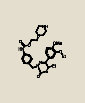 CCOc1cc(C2=NN(Cc3ccc(NC(=O)OCCN4CCNCC4)cc3)C(=O)SC2CC)ccc1OC